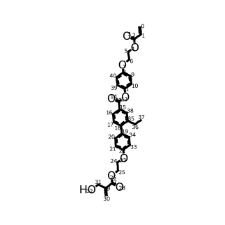 C=CC(=O)OCCOc1ccc(OC(=O)c2ccc(-c3ccc(OCCOC(=O)C(=C)CO)cc3)c(CC)c2)cc1